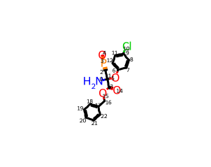 NC(C#P=O)(Oc1ccc(Cl)cc1)C(=O)OCc1ccccc1